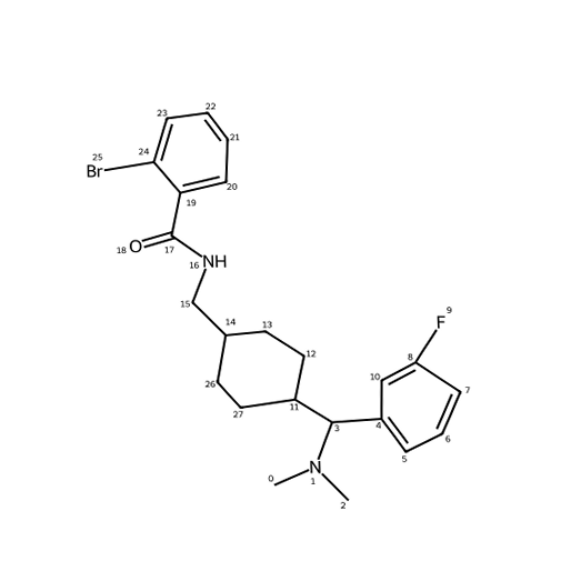 CN(C)C(c1cccc(F)c1)C1CCC(CNC(=O)c2ccccc2Br)CC1